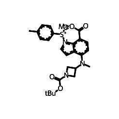 COC(=O)c1ccc(N(C)C2CN(C(=O)OC(C)(C)C)C2)c2ccn([S+]([O-])c3ccc(C)cc3)c12